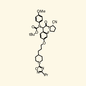 COc1ccc(N(C(=O)OC(C)(C)C)C(C(=O)N2CCC[C@H]2C#N)c2ccc(OCCCC3CCN(c4nc(C(C)C)no4)CC3)cc2F)cc1